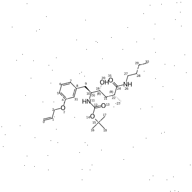 C=CCOc1cccc(C[C@H](NC(=O)OC(C)(C)C)[C@H](O)C[C@@H](C)C(=O)NCCCC)c1